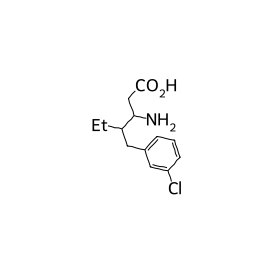 CCC(Cc1cccc(Cl)c1)C(N)CC(=O)O